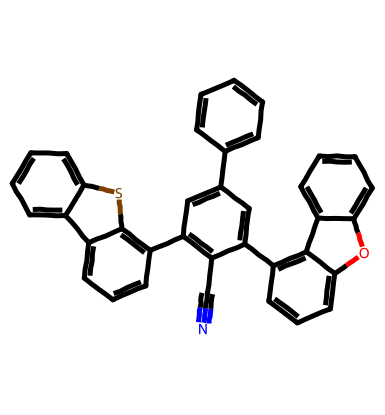 N#Cc1c(-c2cccc3c2sc2ccccc23)cc(-c2ccccc2)cc1-c1cccc2oc3ccccc3c12